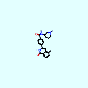 Cc1cccc2c(=O)[nH]c(-c3ccc(C(=O)N(C)C4CCCN(C)C4)cc3)cc12